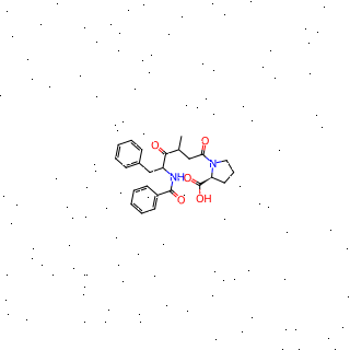 CC(CC(=O)N1CCC[C@H]1C(=O)O)C(=O)C(Cc1ccccc1)NC(=O)c1ccccc1